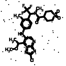 COC(C)c1c(Nc2ccc(C(N(C)C(=O)C3CCS(=O)(=O)CC3)C(F)(F)F)c(C)c2)cnc2nc(Cl)nn12